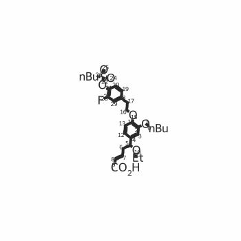 CCCCOc1cc(C(CC=CC(=O)O)OCC)ccc1OCCc1ccc(OS(=O)(=O)CCCC)c(F)c1